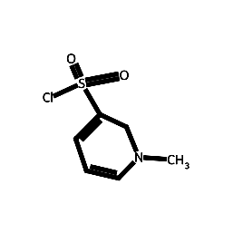 CN1C=CC=C(S(=O)(=O)Cl)C1